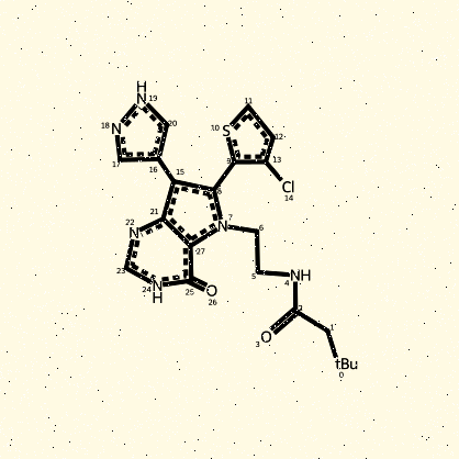 CC(C)(C)CC(=O)NCCn1c(-c2sccc2Cl)c(-c2cn[nH]c2)c2nc[nH]c(=O)c21